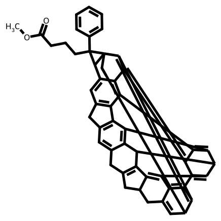 COC(=O)CCCC1(c2ccccc2)C2c3cc4c5c6c(cc7c8c6c6c9c%10c%11c%12c%13c%14c%11c%11c(c%10c3c59)C21CC%11C=C%14CC1CC(=C(C=%131)C8C%126)C7)C4